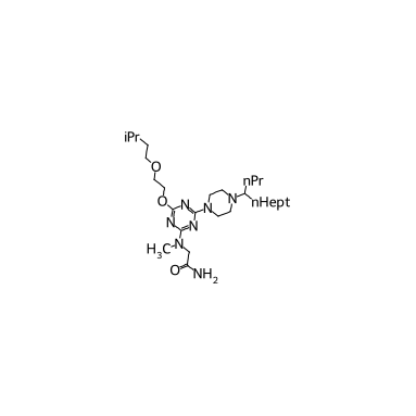 CCCCCCCC(CCC)N1CCN(c2nc(OCCOCCC(C)C)nc(N(C)CC(N)=O)n2)CC1